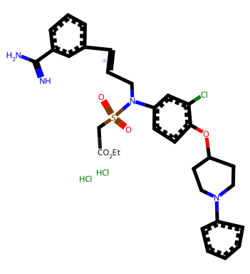 CCOC(=O)CS(=O)(=O)N(C/C=C/c1cccc(C(=N)N)c1)c1ccc(OC2CCN(c3ccccc3)CC2)c(Cl)c1.Cl.Cl